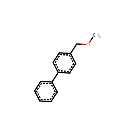 COCc1ccc(-c2cc[c]cc2)cc1